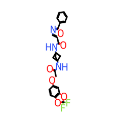 O=C(COc1ccc2c(c1)OC(F)(F)O2)NC12CC(NC(=O)c3cnc(-c4ccccc4)o3)(C1)C2